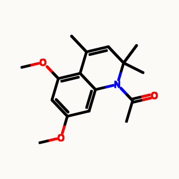 COc1cc(OC)c2c(c1)N(C(C)=O)C(C)(C)C=C2C